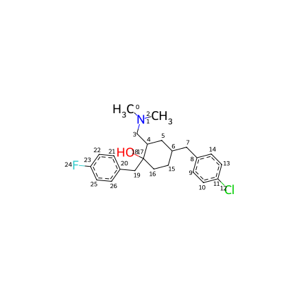 CN(C)CC1CC(Cc2ccc(Cl)cc2)CCC1(O)Cc1ccc(F)cc1